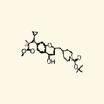 COC(=O)[C@@H](C)[C@H](c1ccc2c(c1)OC(CC1CCN(C(=O)OC(C)(C)C)CC1)CC2O)C1CC1